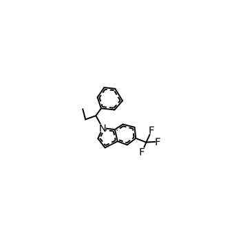 CCC(c1ccccc1)n1ccc2cc(C(F)(F)F)ccc21